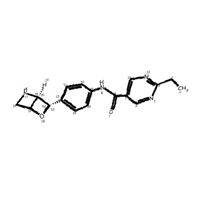 CCc1ncc(C(=O)Nc2ccc([C@@H]3OC4CN[C@H]43)cc2)cn1